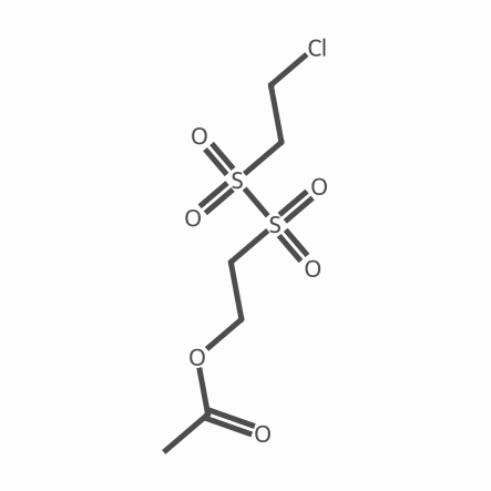 CC(=O)OCCS(=O)(=O)S(=O)(=O)CCCl